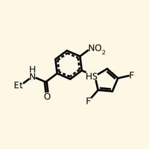 CCNC(=O)c1ccc([N+](=O)[O-])c([SH]2C=C(F)C=C2F)c1